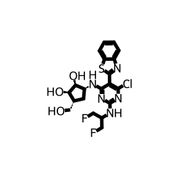 OC[C@H]1C[C@@H](Nc2nc(NC(CF)CF)nc(Cl)c2-c2nc3ccccc3s2)[C@H](O)[C@@H]1O